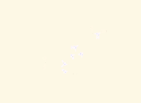 COC(=O)c1ccn2c(-c3ccnc(Nc4ccc(C(=O)NO)cc4)n3)c(C)nc2c1